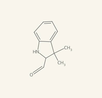 CC1(C)c2ccccc2NC1C=O